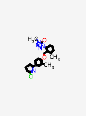 Cc1cc(-c2cccc(Cl)n2)ccc1OCc1c(C)cccc1-n1nnn(C)c1=O